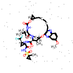 COc1ccc2nc3c(nc2c1)O[C@H]1CN(C(=O)[C@H](C(C)(C)C)NC(=O)O[C@@H]2CC2CCCCC3)[C@H](C(=O)N[C@]2(C(=O)NS(=O)(=O)C3(C)CC3)C[C@H]2C(F)F)[C@@H]1C